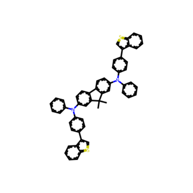 CC1(C)c2cc(N(c3ccccc3)c3ccc(-c4csc5ccccc45)cc3)ccc2-c2ccc(N(c3ccccc3)c3ccc(-c4csc5ccccc45)cc3)cc21